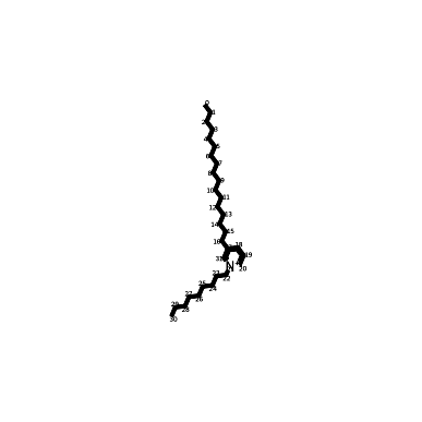 CCCCCCCCCCCCCCCCCc1ccc[n+](CCCCCCCCC)c1